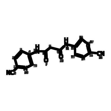 N#Cc1ccc(NC(=O)CC(=O)Nc2ccc(C#N)nc2)cn1